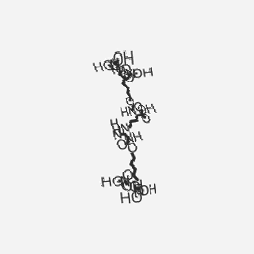 N=C(NCCCC(NC(=O)OCCCCC(CON(O)O)ON(O)O)C(=O)O)NC(=O)OCCCCC(CON(O)O)ON(O)O